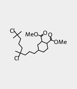 COC(=O)C1CCC(CCCC(C)(Cl)CCCC(C)(C)Cl)CC1C(=O)OC